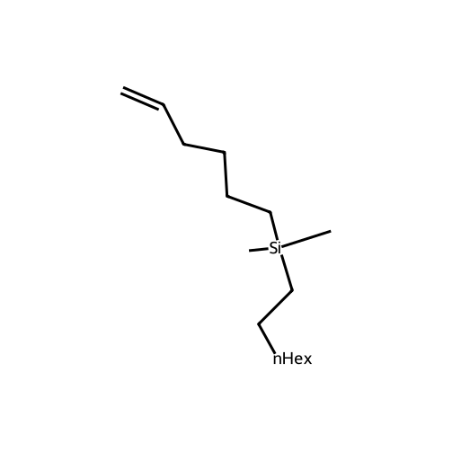 C=CCCCC[Si](C)(C)CCCCCCCC